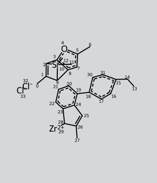 CC1=C2c3oc(C)cc3C1[Si]2(C)C.CCc1ccc(-c2cccc3c2C=C(C)[CH]3[Zr+2])cc1.[Cl-].[Cl-]